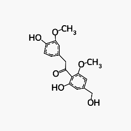 COc1cc(CC(=O)c2c(O)cc(CO)cc2OC)ccc1O